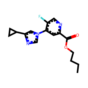 CCCCOC(=O)c1cc(-n2cnc(C3CC3)c2)c(F)cn1